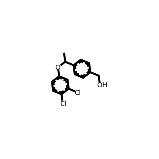 CC(Oc1ccc(Cl)c(Cl)c1)c1ccc(CO)cc1